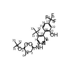 CN(CC(=O)Nc1cc(C(C)(C)C)c(-c2ccc(C(F)(F)F)cc2O)nn1)C(=O)OC(C)(C)C